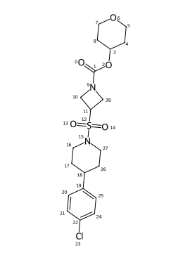 O=C(OC1CCOCC1)N1CC(S(=O)(=O)N2CCC(c3ccc(Cl)cc3)CC2)C1